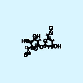 O=NCC1C[C@H](O)CC(O[C@@H]2C[C@@H](O)[C@H](O)C(CN=O)O2)O1